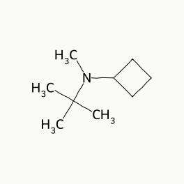 CN(C1CCC1)C(C)(C)C